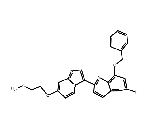 COCCOc1ccn2c(-c3ccc4cc(F)cc(OCc5ccccc5)c4n3)cnc2c1